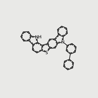 c1ccc(-c2cccc(-n3c4ccccc4c4cc5c(cc43)sc3ccc4c6ccccc6[nH]c4c35)c2)cc1